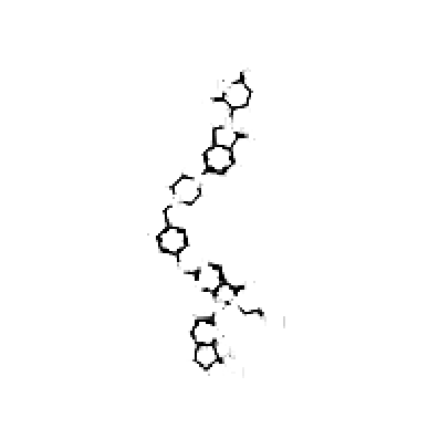 C=CCn1c(=O)c2cnc(Nc3ccc(CN4CCN(c5ccc6c(c5)CN(C5CCC(=O)NC5=O)C6=O)CC4)cc3)nc2n1-c1ccc2c(n1)[C@@](O)(CC)CC2